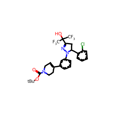 CC(C)(C)OC(=O)N1CC=C(c2cccc(N3N=C(C(O)(C(F)(F)F)C(F)(F)F)CC3c3ccccc3Cl)c2)CC1